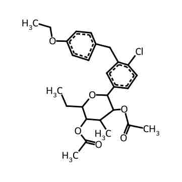 CCOc1ccc(Cc2cc(C3OC(CC)C(OC(C)=O)C(C)C3OC(C)=O)ccc2Cl)cc1